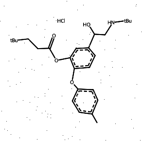 Cc1ccc(Oc2ccc(C(O)CNC(C)(C)C)cc2OC(=O)CCC(C)(C)C)cc1.Cl